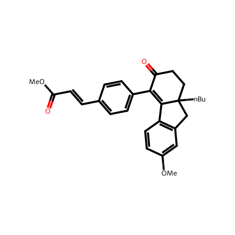 CCCCC12CCC(=O)C(c3ccc(C=CC(=O)OC)cc3)=C1c1ccc(OC)cc1C2